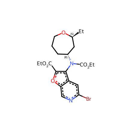 CCOC(=O)c1oc2cnc(Br)cc2c1N(C(=O)OCC)[C@@H]1CCCO[C@@H](CC)C1